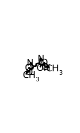 CCOC(=O)C=C(C#N)C=CC(C#N)=C(O)C(=O)OCC